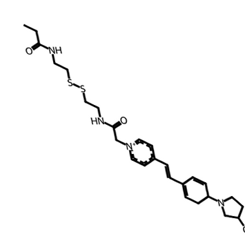 CCC(=O)NCCSSCCNC(=O)C[n+]1ccc(/C=C/C2=CCC(N3CCC(O)C3)C=C2)cc1